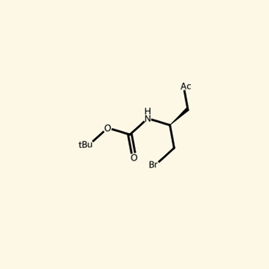 CC(=O)C[C@@H](CBr)NC(=O)OC(C)(C)C